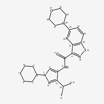 O=C(Nc1cn(C2CCCCC2)nc1C(F)F)c1nsc2ccc(N3CCOCC3)nc12